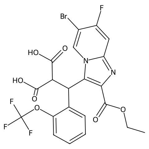 CCOC(=O)c1nc2cc(F)c(Br)cn2c1C(c1ccccc1OC(F)(F)F)C(C(=O)O)C(=O)O